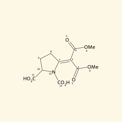 COC(=O)C(C(=O)OC)=C1CCC(C(=O)O)N1C(=O)O